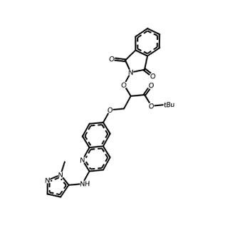 Cn1nccc1Nc1ccc2cc(OCC(ON3C(=O)c4ccccc4C3=O)C(=O)OC(C)(C)C)ccc2n1